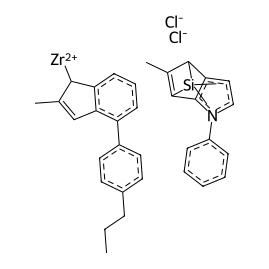 CC1=C2c3c(ccn3-c3ccccc3)C1[Si]2(C)C.CCCc1ccc(-c2cccc3c2C=C(C)[CH]3[Zr+2])cc1.[Cl-].[Cl-]